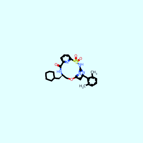 Cc1cccc(C)c1-c1cc2nc(n1)NS(=O)(=O)c1cccc(n1)C(=O)N[C@H](CC1CCCCC1)CO2